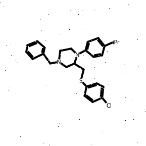 CC(C)c1ccc(N2CCN(Cc3ccccc3)CC2CSc2ccc(Cl)cc2)cc1